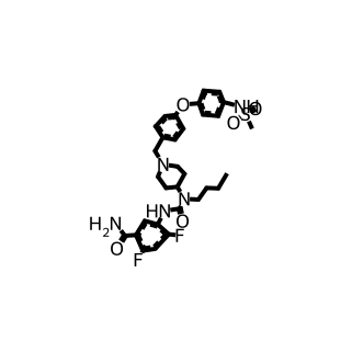 CCCCN(C(=O)Nc1cc(C(N)=O)c(F)cc1F)C1CCN(Cc2ccc(Oc3ccc(NS(C)(=O)=O)cc3)cc2)CC1